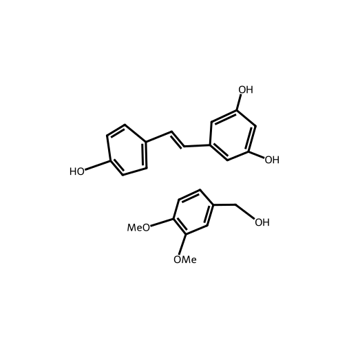 COc1ccc(CO)cc1OC.Oc1ccc(C=Cc2cc(O)cc(O)c2)cc1